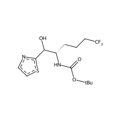 CC(C)(C)OC(=O)N[C@@H](CCCC(F)(F)F)C(O)c1nccs1